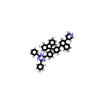 c1ccc(-c2nc(-c3ccccc3)nc(-c3cccc(C4(c5cccc(-c6ccc(-c7ccncc7)c7ccccc67)c5)c5ccccc5-c5ccccc54)c3)n2)cc1